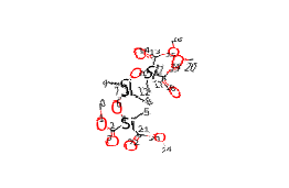 COC(=O)[Si](C)(O[Si](C)(C)O[Si](C)(C(=O)OC)C(=O)OC)C(=O)OC